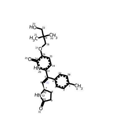 Cc1ccc(/C(=C\[C@H]2CCC(=O)N2)c2ccc(OCC(C)(C)CO)c(=O)[nH]2)cc1